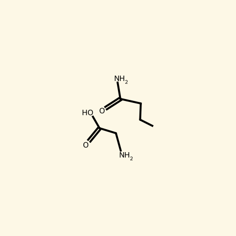 CCCC(N)=O.NCC(=O)O